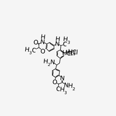 CC1Oc2ccc(NC(C)c3ccc(CC(N)c4ccc5c(c4)N=C(N)C(C)O5)cc3)cc2NC1=O.Cl.Cl.Cl